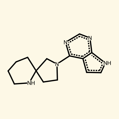 c1nc(N2CCC3(CCCCN3)C2)c2cc[nH]c2n1